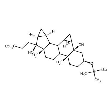 CCOC(=O)CC[C@]1(O)[C@H]2C[C@H]2C2C3C(CC[C@@]21C)[C@@]1(C)CC[C@H](O[Si](C)(C)C(C)(C)C)C[C@@]1(O)[C@@H]1C[C@H]31